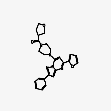 O=C(C1CCOC1)N1CCN(c2cc(-c3ccco3)nc3cc(-c4ccccc4)nn23)CC1